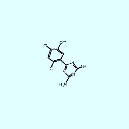 COc1cc(-c2nc(N)nc(O)n2)c(Cl)cc1Cl